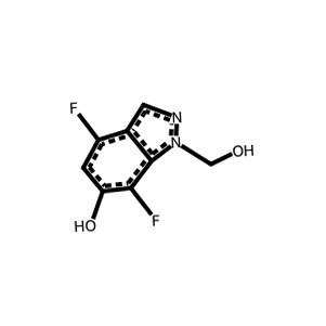 OCn1ncc2c(F)cc(O)c(F)c21